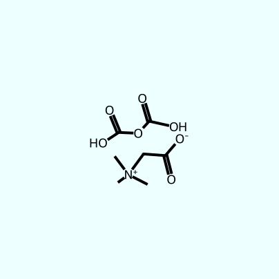 C[N+](C)(C)CC(=O)[O-].O=C(O)OC(=O)O